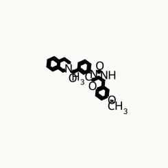 COc1ccc2c(c1)C1CC(C)(O2)N(c2cccc(C(=O)N3CCc4ccccc4C3)c2)C(=O)N1